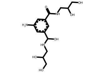 Nc1cc(C(=O)NCC(O)CO)cc(C(O)NCC(O)CO)c1